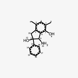 Cc1cc(C)c2c(c1O)C(N)C(O)(c1ccccc1)C2